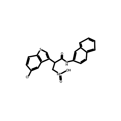 O=C(Nc1ccc2ccccc2c1)C(C[PH](=O)O)c1csc2ccc(Cl)cc12